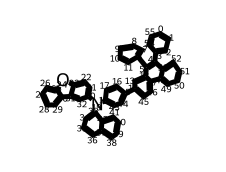 c1ccc(-c2c(-c3ccccc3)c3cc(-c4ccc(N(c5ccc6oc7ccccc7c6c5)c5cccc6ccccc56)cc4)ccc3c3ccccc23)cc1